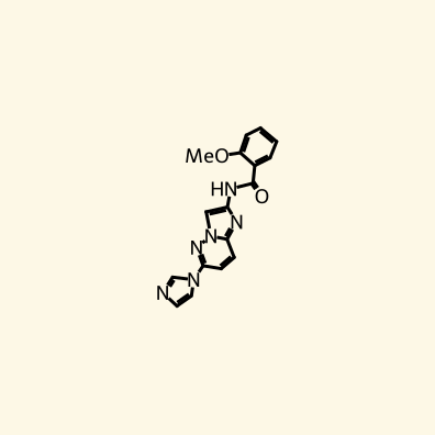 COc1ccccc1C(=O)Nc1cn2nc(-n3ccnc3)ccc2n1